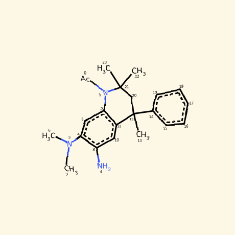 CC(=O)N1c2cc(N(C)C)c(N)cc2C(C)(c2ccccc2)CC1(C)C